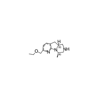 CCOCc1ccc2c(n1)N1[C@@H](CNC[C@H]1C)C2